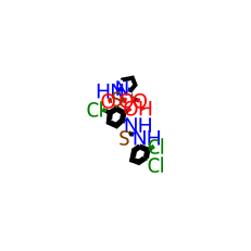 COC[C@H]1CCCN1NS(=O)(=O)c1c(Cl)ccc(NC(=S)Nc2cccc(Cl)c2Cl)c1O